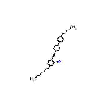 CCCCCCCc1ccc(C#CC2CCC(c3ccc(CCCCC)cc3)CC2)c(C#N)c1